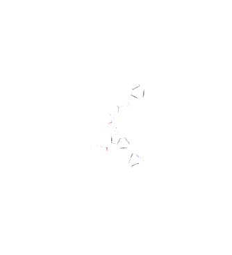 Cc1cc(-c2ccc3c(c2)c(C(N)=O)cn3CC(=O)N(CC(=O)NCc2cccc(Cl)c2F)C(C)C)cnc1F